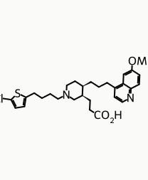 COc1ccc2nccc(CCC[C@@H]3CCN(CCCCc4ccc(Cl)s4)C[C@@H]3CCC(=O)O)c2c1